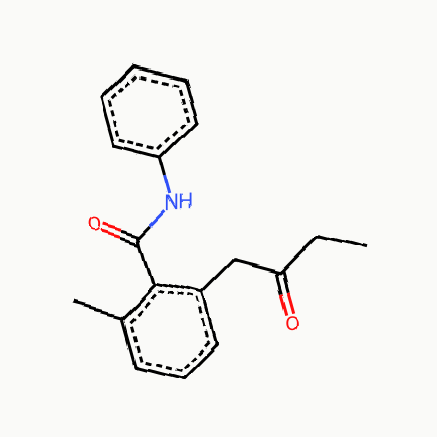 CCC(=O)Cc1cccc(C)c1C(=O)Nc1ccccc1